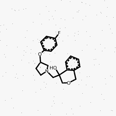 OC1(CN2CCC(Oc3ccc(F)cc3)C2)COCc2ccccc21